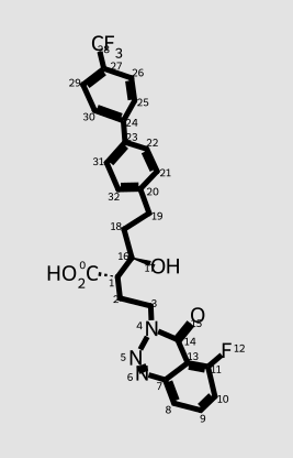 O=C(O)[C@@H](CCn1nnc2cccc(F)c2c1=O)[C@H](O)CCc1ccc(-c2ccc(C(F)(F)F)cc2)cc1